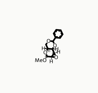 CO[C@@H]1O[C@@H]2COC(c3ccccc3)O[C@H]2[C@H]2O[C@@H]12